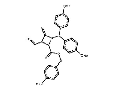 C=CC1C(=O)N(C(c2ccc(OC)cc2)c2ccc(OC)cc2)C1C(=O)OCc1ccc(OC)cc1